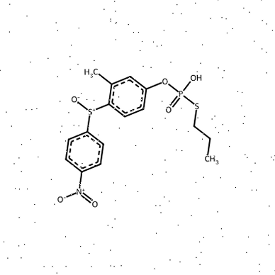 CCCSP(=O)(O)Oc1ccc([S+]([O-])c2ccc([N+](=O)[O-])cc2)c(C)c1